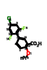 CCCOc1ccc(-c2c(F)cc(Cl)cc2F)cc1C(=O)O